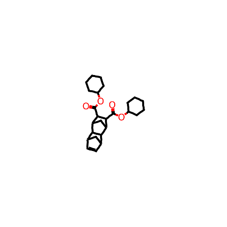 O=C(OC1CCCCC1)C1C2CC(C1C(=O)OC1CCCCC1)C1C3C=CC(C3)C21